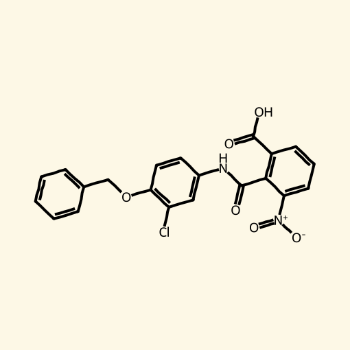 O=C(O)c1cccc([N+](=O)[O-])c1C(=O)Nc1ccc(OCc2ccccc2)c(Cl)c1